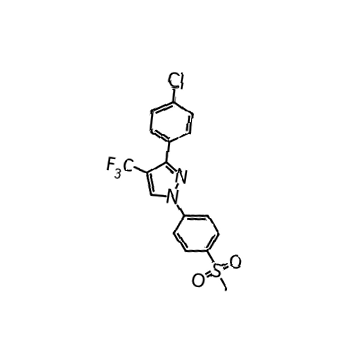 CS(=O)(=O)c1ccc(-n2cc(C(F)(F)F)c(-c3ccc(Cl)cc3)n2)cc1